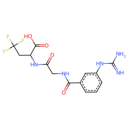 N=C(N)Nc1cccc(C(=O)NCC(=O)NC(CC(F)(F)F)C(=O)O)c1